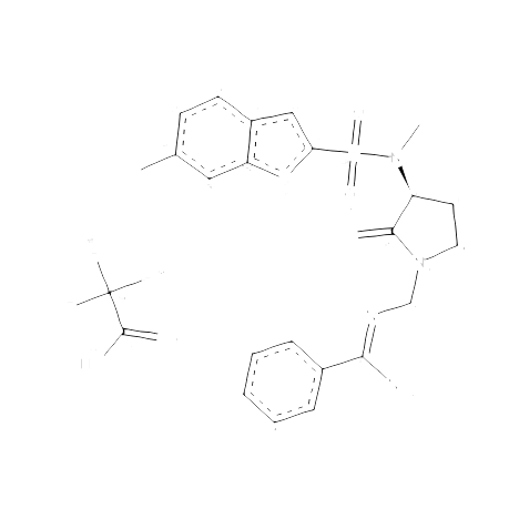 CN([C@H]1CCN(CN=C(N)c2ccccc2)C1=O)S(=O)(=O)c1cc2ccc(Cl)cc2s1.O=C(O)C(F)(F)F